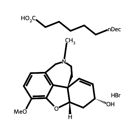 Br.CCCCCCCCCCCCCCCC(=O)O.COc1ccc2c3c1O[C@H]1C[C@@H](O)C=C[C@@]31CCN(C)C2